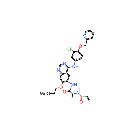 C=CC(=O)NC(C)C(=O)Nc1cc2c(Nc3ccc(OCc4ccccn4)c(Cl)c3)ncnc2cc1OCCOC